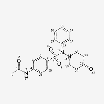 CC(=O)Nc1ccc(S(=O)(=O)N(c2ccccc2)N2CCC(=O)CC2)cc1